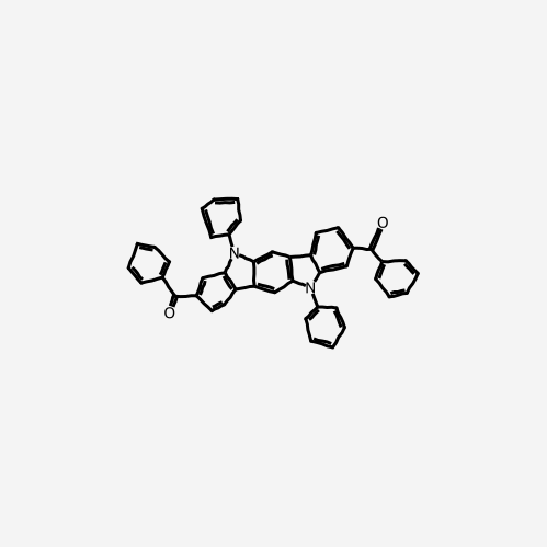 O=C(c1ccccc1)c1ccc2c3cc4c(cc3n(-c3ccccc3)c2c1)c1ccc(C(=O)c2ccccc2)cc1n4-c1ccccc1